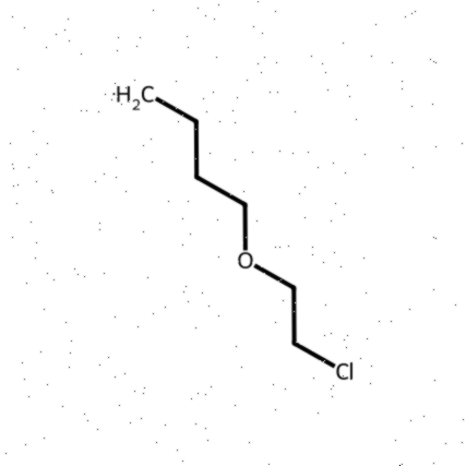 [CH2]CCCOCCCl